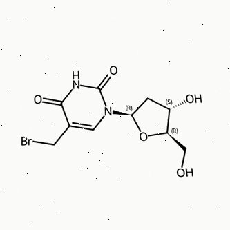 O=c1[nH]c(=O)n([C@H]2C[C@H](O)[C@@H](CO)O2)cc1CBr